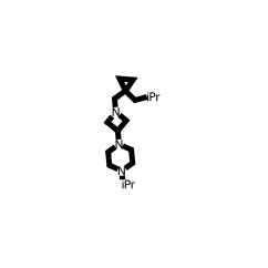 CC(C)CC1(CN2CC(N3CCN(C(C)C)CC3)C2)CC1